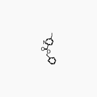 O=C(OCc1ccccc1)c1ccc(I)cn1